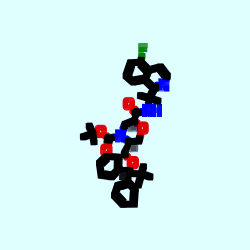 CC(C)(C)OC(=O)N1C[C@@H](C(=O)NC(C)(C)c2nccc3c(F)cccc23)OC[C@H]1CO[Si](c1ccccc1)(c1ccccc1)C(C)(C)C